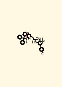 Cc1cc(CCC(=O)Nc2cc(-c3ccc(Cl)cc3)cnc2N)nc(NC(c2ccccc2)(c2ccccc2)c2ccccc2)c1